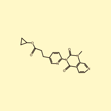 Cn1c(=O)n(-c2ccc(CCC(=O)OC3CC3)cn2)c(=O)c2ccncc21